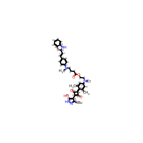 CC[N+](CCOC(=O)CCCN(C)c1ccc(/C=C/C2Nc3ccccc3S2)cc1)=C1C=C(C)C(=C2C(=O)C(c3c(C(C)(C)C)n[nH]c3O)=C2[O-])C(C)=C1